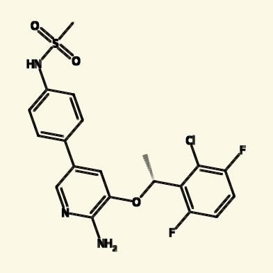 C[C@@H](Oc1cc(-c2ccc(NS(C)(=O)=O)cc2)cnc1N)c1c(F)ccc(F)c1Cl